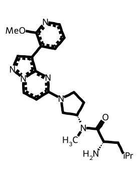 COc1ncccc1-c1cnn2ccc(N3CC[C@H](N(C)C(=O)[C@@H](N)CC(C)C)C3)nc12